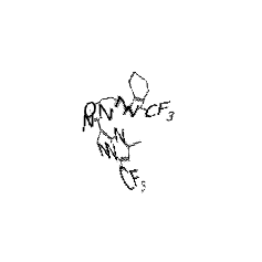 Cc1cc(C(F)(F)F)n2ncc(-c3noc(Cn4nc(C(F)(F)F)c5c4CCCC5)n3)c2n1